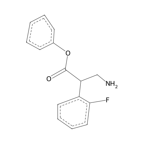 NCC(C(=O)Oc1ccccc1)c1ccccc1F